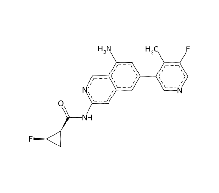 Cc1c(F)cncc1-c1cc(N)c2cnc(NC(=O)[C@H]3C[C@H]3F)cc2c1